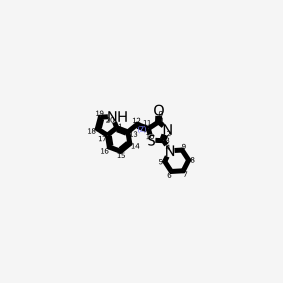 O=C1N=C(N2CCCCC2)S/C1=C\c1cccc2cc[nH]c12